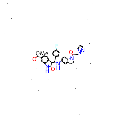 COC(=O)c1ccc2c(c1)NC(=O)/C2=C(\Nc1ccc2c(c1)CCN2C(=O)Cn1cccn1)c1ccc(F)cc1